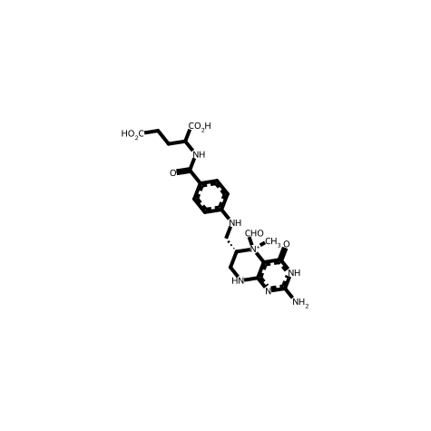 C[N+]1(C=O)c2c(nc(N)[nH]c2=O)NC[C@@H]1CNc1ccc(C(=O)NC(CCC(=O)O)C(=O)O)cc1